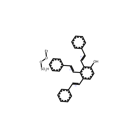 CCOOS(=O)(=O)O.Oc1ccc(/C=C/c2ccccc2)c(/C=C/c2ccccc2)c1/C=C/c1ccccc1